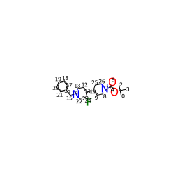 CC(C)(C)OC(=O)N1CC=C(C2=CCN(Cc3ccccc3)CC2F)CC1